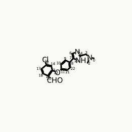 CN(C)Cc1ncc(-c2ccc(Oc3cc(Cl)ccc3C=O)cc2)[nH]1